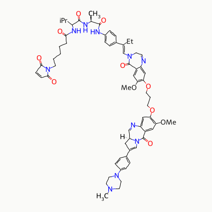 CC/C(=C\N1CC=Nc2cc(OCCCOc3cc4c(cc3OC)C(=O)N3C=C(c5ccc(N6CCN(C)CC6)cc5)C[C@H]3C=N4)c(OC)cc2C1=O)c1ccc(NC(=O)[C@H](C)NC(=O)C(NC(=O)CCCCCN2C(=O)C=CC2=O)C(C)C)cc1